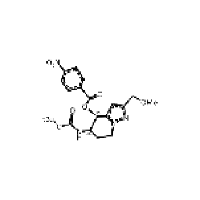 COCc1cc2n(n1)CC[C@@H](NC(=O)OC(C)(C)C)[C@H]2OC(=O)c1ccc([N+](=O)[O-])cc1